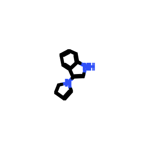 C1=CN(c2c[nH]c3ccccc23)CC1